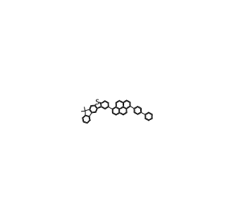 CC1(C)c2ccccc2-c2cc3c(cc21)sc1ccc(-c2ccc4ccc5c(-c6ccc(-c7ccccc7)cc6)ccc6ccc2c4c65)cc13